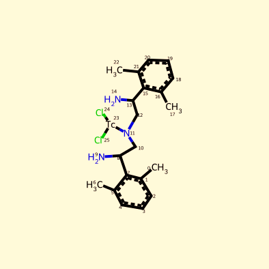 Cc1cccc(C)c1C(N)C[N](CC(N)c1c(C)cccc1C)[Tc]([Cl])[Cl]